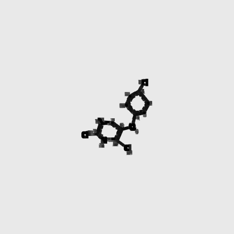 Clc1ccc(Oc2cnc(Cl)nc2Cl)cc1